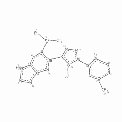 CC[S+]([O-])c1cc2[nH]nnc2nc1-c1nnc(-c2cc(C(F)(F)F)ccn2)n1C